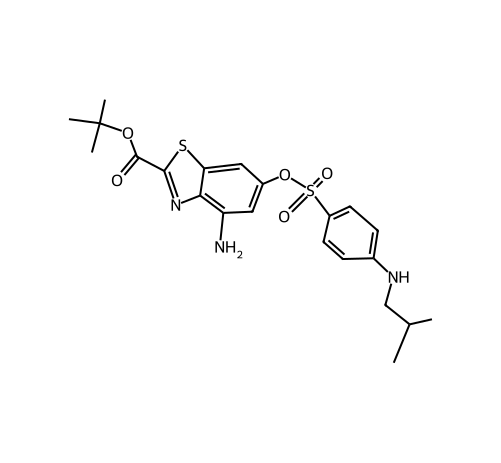 CC(C)CNc1ccc(S(=O)(=O)Oc2cc(N)c3nc(C(=O)OC(C)(C)C)sc3c2)cc1